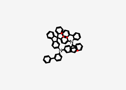 c1ccc(-c2ccc(N(c3cccc(-c4ccccc4)c3)c3ccc4c(c3)C3(c5ccccc5-c5cc(N(c6ccccc6)c6ccccc6-c6ccccc6)ccc53)c3ccccc3-4)cc2)cc1